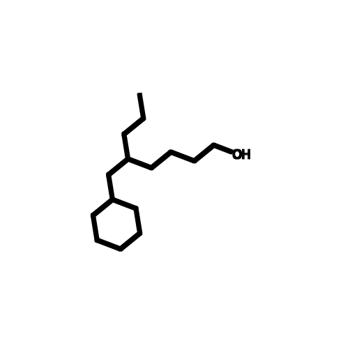 CCCC(CCCCO)CC1CCCCC1